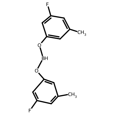 Cc1cc(F)cc(OBOc2cc(C)cc(F)c2)c1